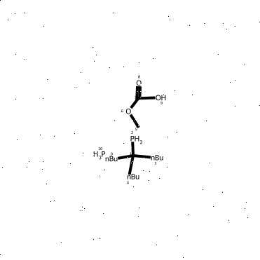 CCCCC(P)(CCCC)CCCC.COC(=O)O.P